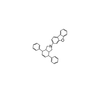 C1=CC(c2ccccc2)C2CN(c3ccc4c(c3)oc3ccccc34)CC2C1c1ccccc1